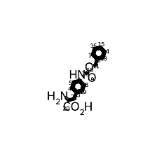 N[C@@H](Cc1ccc(NC(=O)OCc2ccccc2)cc1)C(=O)O